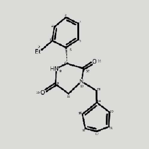 CCc1ccccc1[C@H]1NC(=O)CN(Cc2ccccc2)C1=O